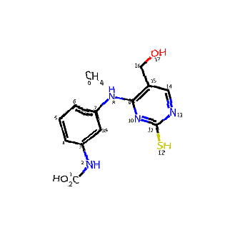 C.O=C(O)Nc1cccc(Nc2nc(S)ncc2CO)c1